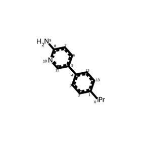 CC(C)c1ccc(-c2ccc(N)nc2)cc1